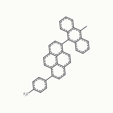 Cc1c2ccccc2c(-c2ccc3ccc4c(-c5ccc(C(F)(F)F)cc5)ccc5ccc2c3c54)c2ccccc12